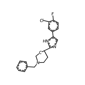 Fc1ccc(-c2cnc(C3CCN(Cc4ccccc4)CC3)[nH]2)cc1Cl